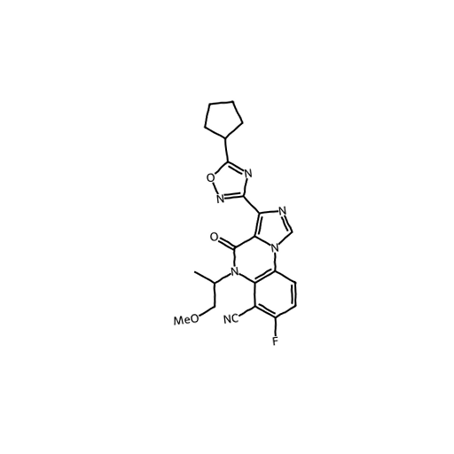 COCC(C)n1c(=O)c2c(-c3noc(C4CCCC4)n3)ncn2c2ccc(F)c(C#N)c21